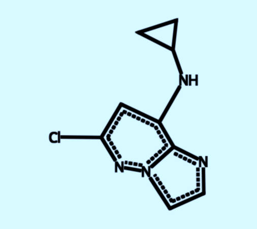 Clc1cc(NC2CC2)c2nccn2n1